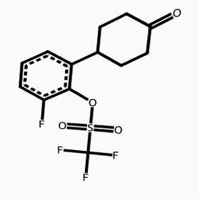 O=C1CCC(c2cccc(F)c2OS(=O)(=O)C(F)(F)F)CC1